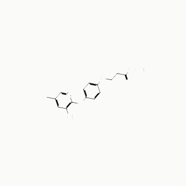 CC(C)COC(=O)CCOc1ccc(Oc2ncc(Cl)cc2Cl)cc1